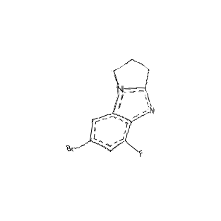 Fc1cc(Br)cc2c1nc1n2[CH]CC1